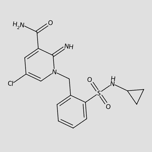 N=c1c(C(N)=O)cc(Cl)cn1Cc1ccccc1S(=O)(=O)NC1CC1